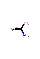 C=C(N)P